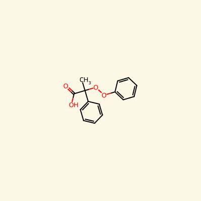 CC(OOc1ccccc1)(C(=O)O)c1ccccc1